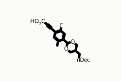 CCCCCCCCCCCC1COC(c2cc(F)c(C#CC(=O)O)cc2C)OC1